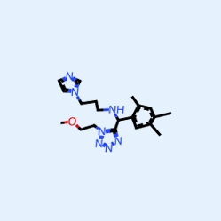 COCCn1nnnc1C(NCCCn1ccnc1)c1cc(C)c(C)cc1C